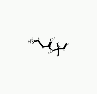 CCC(C)(C)OC(=O)CCS